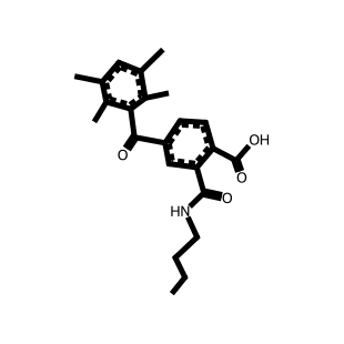 CCCCNC(=O)c1cc(C(=O)c2c(C)c(C)cc(C)c2C)ccc1C(=O)O